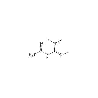 C/N=C(/NC(=N)N)N(C)C